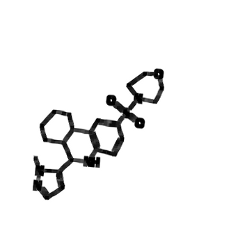 Cn1nccc1C1Nc2ccc(S(=O)(=O)N3CCOCC3)cc2C2CCCCC21